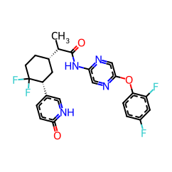 CC(C(=O)Nc1cnc(Oc2ccc(F)cc2F)cn1)[C@H]1CCC(F)(F)[C@@H](c2ccc(=O)[nH]c2)C1